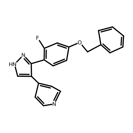 Fc1cc(OCc2ccccc2)ccc1-c1n[nH]cc1-c1ccncc1